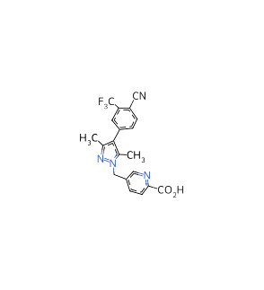 Cc1nn(Cc2ccc(C(=O)O)nc2)c(C)c1-c1ccc(C#N)c(C(F)(F)F)c1